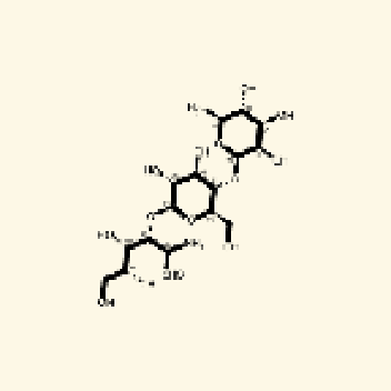 C[C@@H]1O[C@H](O[C@H]2[C@H](O)[C@@H](O)[C@H](O[C@@H]([C@@H](O)[C@H](O)CO)[C@@H](N)C=O)O[C@@H]2CO)[C@H](O)[C@H](O)[C@H]1O